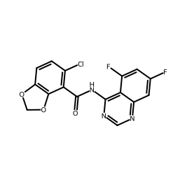 O=C(Nc1ncnc2cc(F)cc(F)c12)c1c(Cl)ccc2c1OCO2